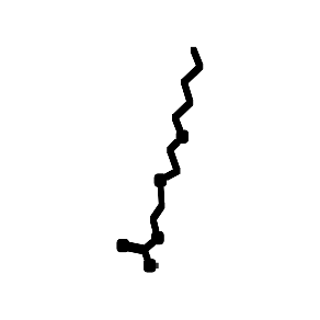 CCCCCOCCOCCOC([O])=O